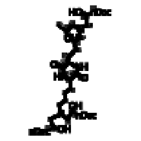 CCCCCCCCCC[C@@H](O)CN(CCCCC1NC(=O)C(CCCCN(C[C@@H](O)CCCCCCCCCC)C[C@H](C)O)NC1=O)C[C@H](O)CCCCCCCCCC